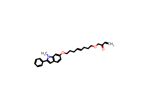 C=CC(=O)COCCC/C=C/CCCOc1ccc2cc(-c3ccccc3)n(C)c2c1